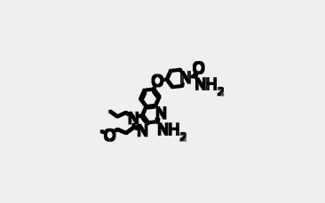 CCCn1c(CCOC)nc2c(N)nc3cc(OC4CCN(C(N)=O)CC4)ccc3c21